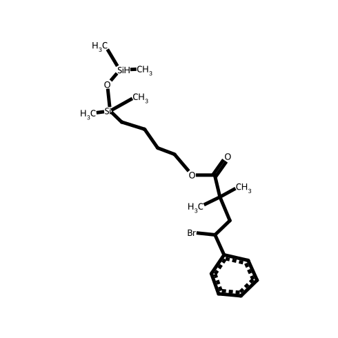 C[SiH](C)O[Si](C)(C)CCCCOC(=O)C(C)(C)CC(Br)c1ccccc1